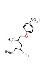 CCCC(C)CC(C)CC(C)COc1ccc(C(=O)O)cc1